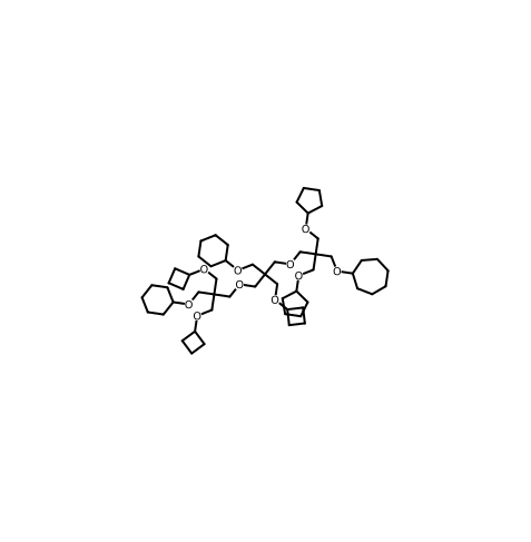 C1CCC(OCC(COCC(COC2CCCCCC2)(COC2CCCC2)COC2CCCC2)(COCC(COC2CCCCC2)(COC2CCC2)COC2CCC2)COC2CCC2)CC1